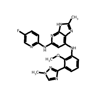 COc1c(Nc2cc(Nc3ccc(F)cn3)nc3[nH]c(C)nc23)cccc1-c1ncn(C)n1